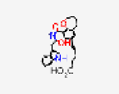 CN(C(=O)c1cc(C#CCCCC(=O)O)cc2c1OCCCC2)[C@H](O)Cc1c[nH]c2ccccc12